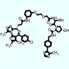 Cc1ncsc1-c1ccc(CNC(=O)[C@@H]2C[C@@H](O)CN2C(=O)C(NC(=O)COCCOc2cccc(NC(=O)CC[C@@H]3N=C(c4ccc(Cl)cc4)c4c(sc(C)c4C)-n4c(C)nnc43)c2)C(C)(C)C)cc1